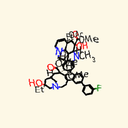 CC[C@]1(O)C[C@H]2CN(CCC3=C(Bc4ccc(-c5cccc(F)c5)cc43)[C@@](C(=O)OC)(C3C=C4C(=CC3OC)N(C)[C@H]3[C@@](O)(C(=O)OC)[C@H](OC(C)=O)[C@]5(CC)C=CCN6CC[C@]43[C@@H]65)C2)C1